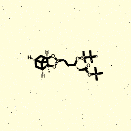 CC(C)(C)OC(=O)C[C@H](CCB1O[C@@H]2C[C@@H]3C[C@@H](C3(C)C)[C@]2(C)O1)O[Si](C)(C)C(C)(C)C